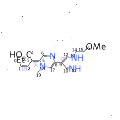 CC/C=C\C(C(=O)O)=C1\C=NC(/C(C=N)=C/NCCOC)=CN1C